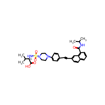 CC(C)NC(=O)c1cccc2ccc(C#Cc3ccc(N4CCN(S(=O)(=O)N[C@@H](C(=O)O)C(C)C)CC4)cc3)cc12